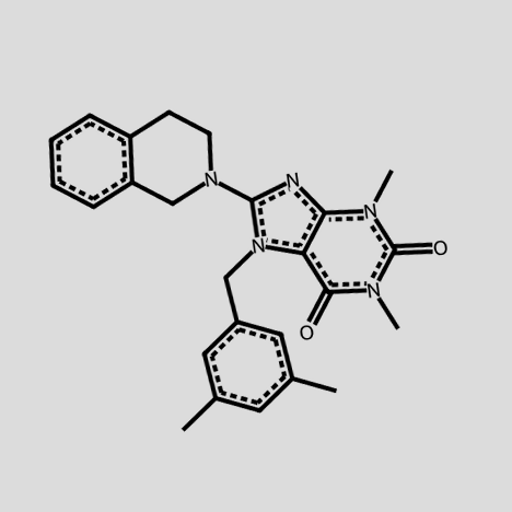 Cc1cc(C)cc(Cn2c(N3CCc4ccccc4C3)nc3c2c(=O)n(C)c(=O)n3C)c1